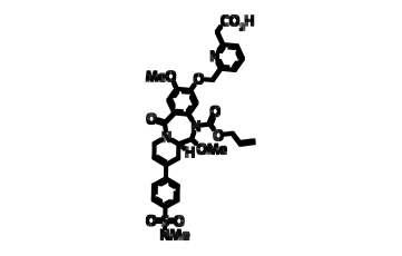 C=CCOC(=O)N1c2cc(OCc3cccc(CC(=O)O)n3)c(OC)cc2C(=O)N2CC=C(c3ccc(S(=O)(=O)NC)cc3)C[C@H]2C1OC